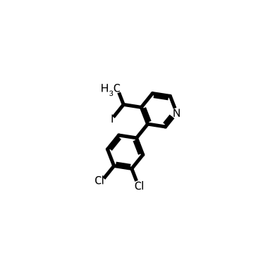 CC(I)c1ccncc1-c1ccc(Cl)c(Cl)c1